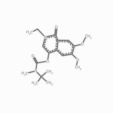 CCn1cc(OC(=O)N(C)C(C)(C)C)c2cc(OC)c(OC)cc2c1=O